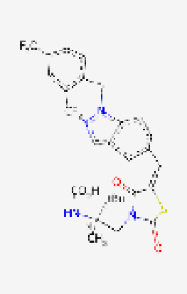 CC(C)(C)[C@@](C)(CN1C(=O)SC(=Cc2ccc3c(cnn3Cc3ccc(C(F)(F)F)cc3C(F)(F)F)c2)C1=O)NC(=O)O